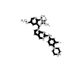 COc1cnc(N(C)S(C)(=O)=O)c(Cn2ccc3cnc(Nc4ccc(N5CCNCC5)c(F)c4)nc32)c1